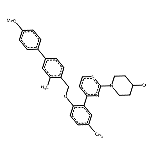 COc1ccc(-c2ccc(COc3ccc(C)cc3-c3ccnc(N4CCC(C(=O)O)CC4)n3)c(C)c2)cc1